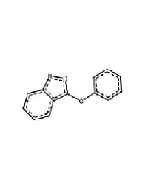 c1ccc(Oc2onc3ccccc23)cc1